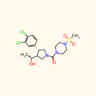 C[C@H](O)C1CN(C(=O)N2CCN(S(C)(=O)=O)CC2)C[C@H]1c1ccc(Cl)c(Cl)c1